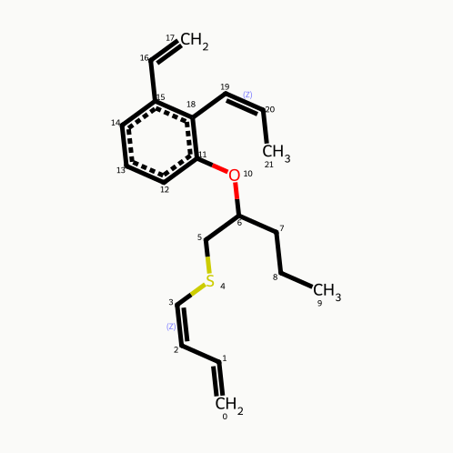 C=C/C=C\SCC(CCC)Oc1cccc(C=C)c1/C=C\C